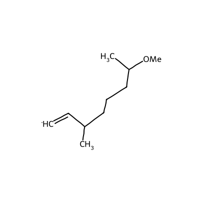 [CH]=CC(C)CCCC(C)OC